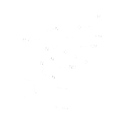 Cc1cnc(C(OC(C)C)C(C)S(=O)(=O)Nc2nnc([C@H]3CCCO3)n2C2CCOCC2)cn1